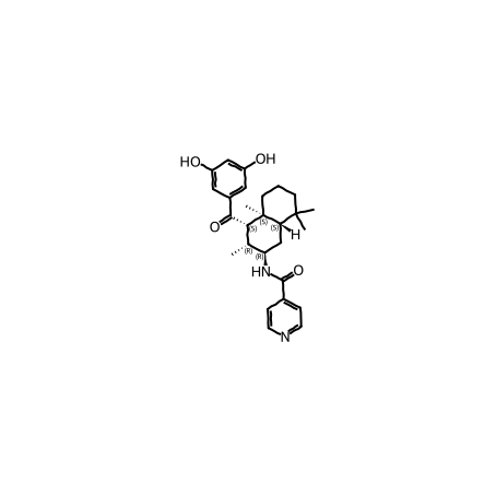 C[C@H]1[C@H](NC(=O)c2ccncc2)C[C@H]2C(C)(C)CCC[C@]2(C)[C@H]1C(=O)c1cc(O)cc(O)c1